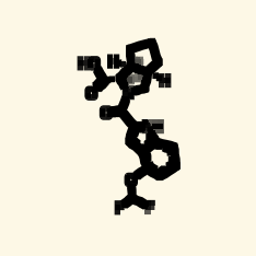 O=C(O)[C@@H]1[C@H]2CCC[C@H]2CN1C(=O)c1cc2c(OC(F)F)cccc2[nH]1